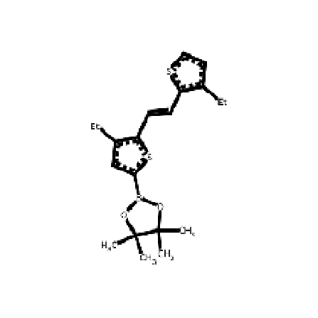 CCc1ccsc1/C=C/c1sc(B2OC(C)(C)C(C)(C)O2)cc1CC